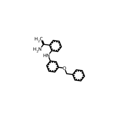 C=C(N)c1ccccc1Nc1cccc(OCc2ccccc2)c1